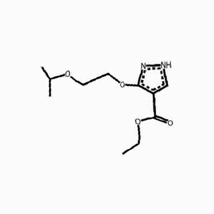 CCOC(=O)c1c[nH]nc1OCCOC(C)C